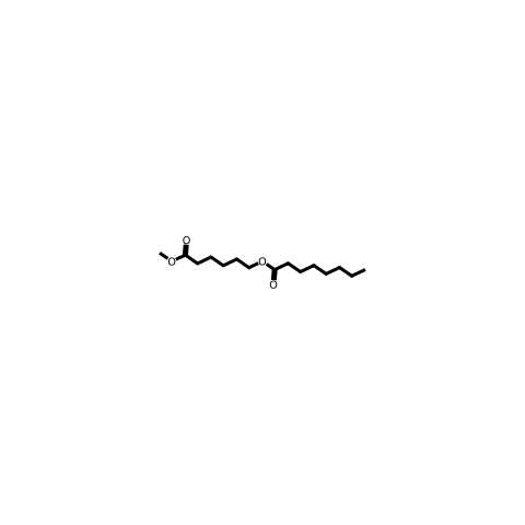 CCCCCCCC(=O)OCCCCCC(=O)OC